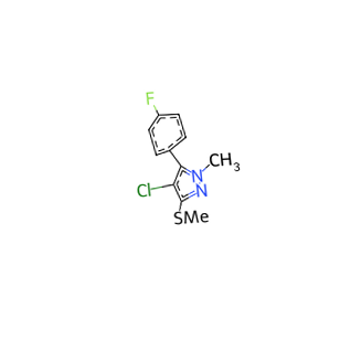 CSc1nn(C)c(-c2ccc(F)cc2)c1Cl